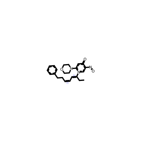 CC/C(=C\C=C/CCc1ccccc1)n1cc(N=O)c(=O)cc1N1CCOCC1